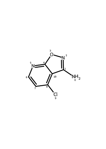 Nc1noc2nccc(Cl)c12